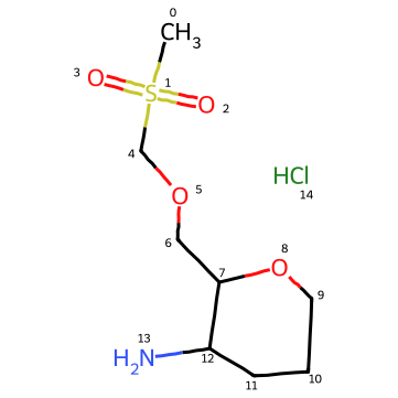 CS(=O)(=O)COCC1OCCCC1N.Cl